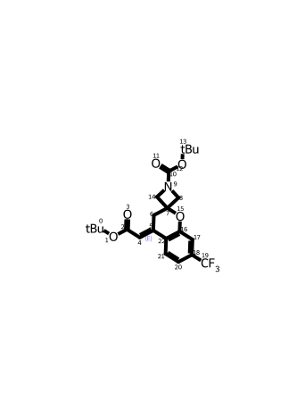 CC(C)(C)OC(=O)/C=C1\CC2(CN(C(=O)OC(C)(C)C)C2)Oc2cc(C(F)(F)F)ccc21